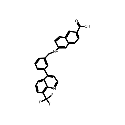 O=C(O)c1ccc2cc(NCc3cccc(-c4ccnc5c(C(F)(F)F)cccc45)c3)ccc2c1